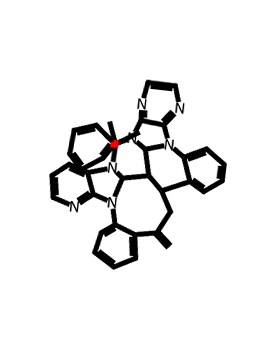 C=C1CC2c3ccccc3N3c4nccnc4N(c4ccccc4)C3C2C2N(c3ccccc31)c1ncccc1N2C(C)C